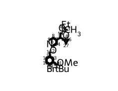 CCOP(C)(=O)CC(c1ccnc(OCc2ccc(Br)c([C@@H](OC)C(C)(C)C)c2)c1)C1CC1